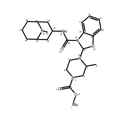 CC1CN(C(=O)OC(C)(C)C)CCN1C1Oc2ccccc2N1C(=O)NC1CC2CCCC(C1)N2C